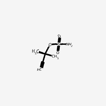 C#CC(C)(C)OS(N)(=O)=O